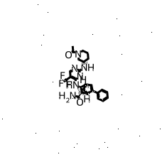 CC(=O)N1CCC[C@H](Nc2ncc(C(F)(F)F)c(N[C@@H]3[C@H](C(N)=O)[C@@H]4C[C@H]3C=C4c3ccccc3)n2)C1